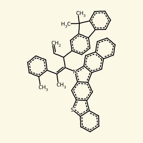 C=CC(/C(=C(/C)c1ccccc1C)n1c2cc3ccccc3cc2c2cc3c(cc21)sc1ccccc13)c1ccc2c(c1)C(C)(C)c1ccccc1-2